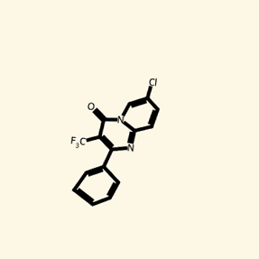 O=c1c(C(F)(F)F)c(-c2ccccc2)nc2ccc(Cl)cn12